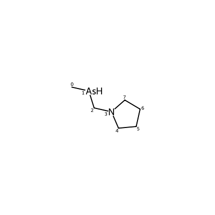 C[AsH]CN1CCCC1